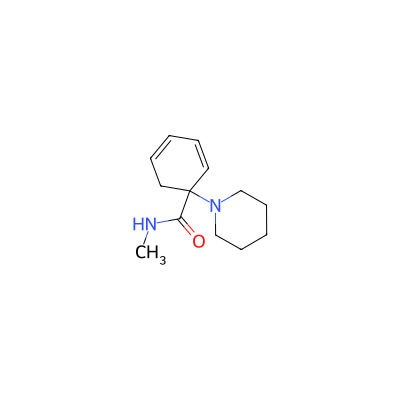 CNC(=O)C1(N2CCCCC2)C=CC=CC1